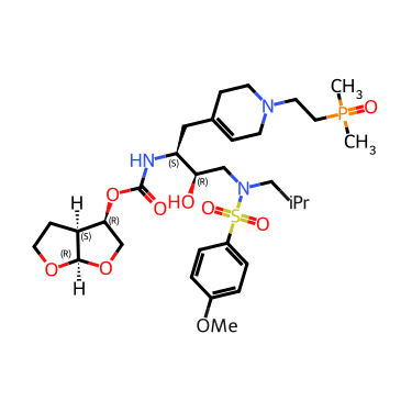 COc1ccc(S(=O)(=O)N(CC(C)C)C[C@@H](O)[C@H](CC2=CCN(CCP(C)(C)=O)CC2)NC(=O)O[C@H]2CO[C@H]3OCC[C@H]32)cc1